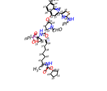 CCCP(=O)(O)[C@@]1(NC(=O)[C@@H]2C[C@@H](Oc3cc(-c4csc(NC(C)C)n4)nc4cc(OC)ccc34)CN2C=O)C[C@H]1/C=C\CCCCC[C@@H](C)NC(=O)OC1CCCC1